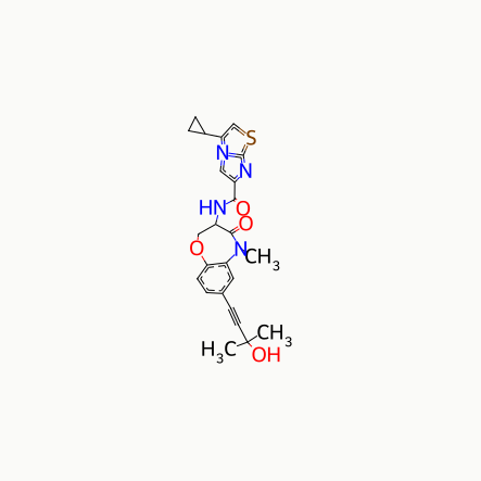 CN1C(=O)C(NC(=O)c2cn3c(C4CC4)csc3n2)COc2ccc(C#CC(C)(C)O)cc21